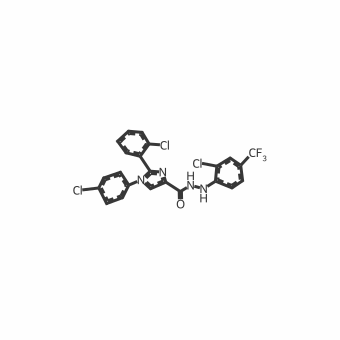 O=C(NNc1ccc(C(F)(F)F)cc1Cl)c1cn(-c2ccc(Cl)cc2)c(-c2ccccc2Cl)n1